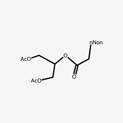 CCCCCCCCCCC(=O)OC(COC(C)=O)COC(C)=O